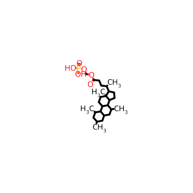 CC1CC(C)C2C(C1)CC(C)C1C2CCC2(C)C(C(C)CCC(=O)OCOP(=O)(O)O)CCC12